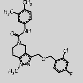 Cc1ccc(NC(=O)N2CCc3c(c(COCc4ccc(F)cc4Cl)nn3C)C2)cc1C